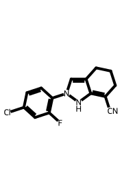 N#CC1=C2NN(c3ccc(Cl)cc3F)C=C2CCC1